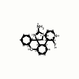 NC1=NC2(CS1)c1ccccc1Oc1cccc(-c3cccnc3F)c12